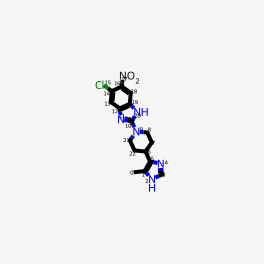 Cc1[nH]cnc1C1CCN(c2nc3cc(Cl)c([N+](=O)[O-])cc3[nH]2)CC1